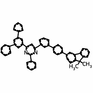 CC1(C)c2ccccc2-c2cc(-c3ccc(-c4cccc(-c5cc(-c6cc(-c7ccccc7)cc(-c7ccccc7)c6)nc(-c6ccccc6)n5)c4)cc3)ccc21